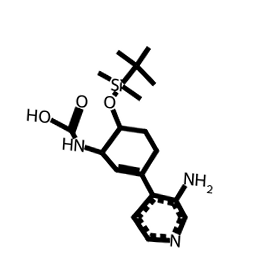 CC(C)(C)[Si](C)(C)OC1CCC(c2ccncc2N)=CC1NC(=O)O